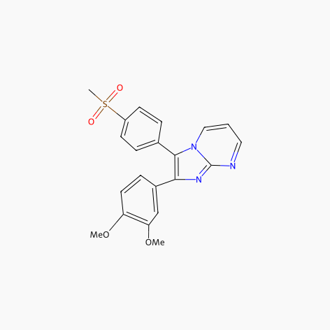 COc1ccc(-c2nc3ncccn3c2-c2ccc(S(C)(=O)=O)cc2)cc1OC